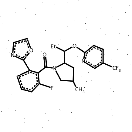 CCC(Oc1ccc(C(F)(F)F)cn1)C1CC(C)CN1C(=O)c1c(F)cccc1-c1ncco1